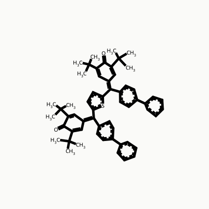 CC(C)(C)C1=CC(=C(c2ccc(-c3ccccc3)cc2)c2ccc(C(=C3C=C(C(C)(C)C)C(=O)C(C(C)(C)C)=C3)c3ccc(-c4ccccc4)cc3)s2)C=C(C(C)(C)C)C1=O